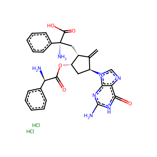 C=C1[C@@H](C[C@](N)(C(=O)O)c2ccccc2)[C@@H](OC(=O)[C@H](N)c2ccccc2)C[C@@H]1n1cnc2c(=O)[nH]c(N)nc21.Cl.Cl